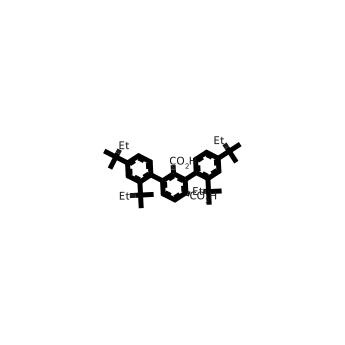 CCC(C)(C)c1ccc(-c2ccc(C(=O)O)c(-c3ccc(C(C)(C)CC)cc3C(C)(C)CC)c2C(=O)O)c(C(C)(C)CC)c1